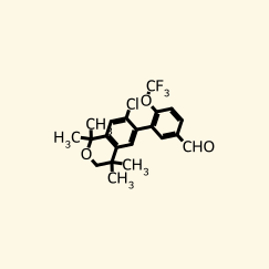 CC1(C)COC(C)(C)c2cc(Cl)c(-c3cc(C=O)ccc3OC(F)(F)F)cc21